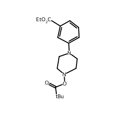 CCOC(=O)c1cccc(N2CCN(OC(=O)C(C)(C)C)CC2)c1